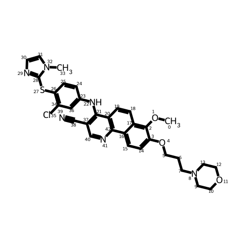 COc1c(OCCCN2CCOCC2)ccc2c1ccc1c(Nc3ccc(Sc4nccn4C)c(Cl)c3)c(C#N)cnc12